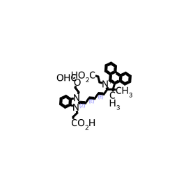 CC1(C)C(/C=C/C=C/C=C2\N(CCOC=O)c3ccccc3N2CCC(=O)O)=[N+](CCC(=O)O)c2c1c1ccccc1c1ccccc21